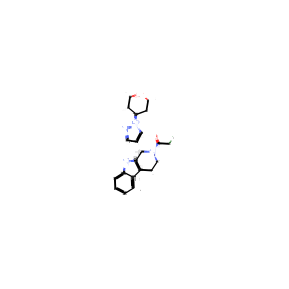 O=C(CCl)N1CCc2c([nH]c3ccccc23)[C@@H]1c1cnn(C2CCOCC2)c1